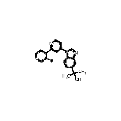 CC(C)(O)c1ccc2c(c1)ncn2-c1ccnc(-c2ccncc2F)c1